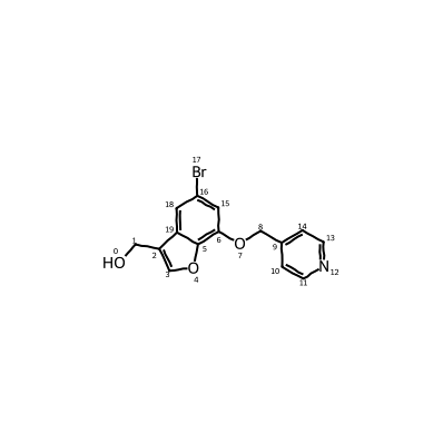 OCc1coc2c(OCc3ccncc3)cc(Br)cc12